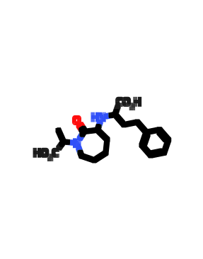 CC(C(=O)O)N1CCCCC(NC(CCc2ccccc2)C(=O)O)C1=O